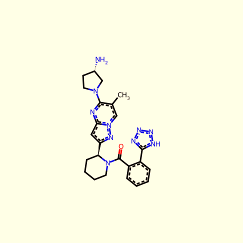 Cc1cn2nc([C@@H]3CCCCN3C(=O)c3ccccc3-c3nnn[nH]3)cc2nc1N1CC[C@H](N)C1